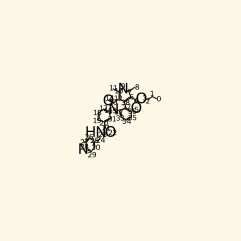 CCCOC(=O)c1c(C)nc(C)c2c(=O)n(-c3cccc(C(=O)NCc4ccncc4)c3)c3ccccc3c12